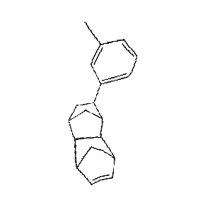 Cc1cccc(C2CC3CC2C2C4C=CC(C4)C32)c1